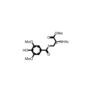 COC(=O)[C@H](CSC(=O)c1cc(OC)c(O)c(OC)c1)NC(C)=O